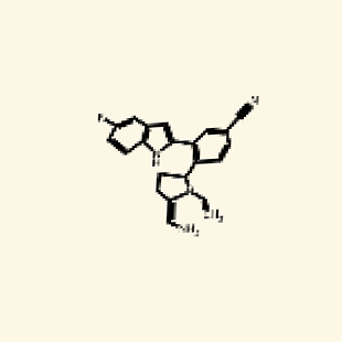 C=CN1/C(=C\N)CCC1c1ccc(C#N)cc1-c1cc2cc(F)ccc2[nH]1